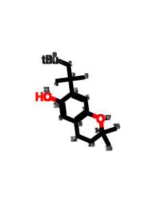 CC(C)(C)CC(C)(C)c1cc2c(cc1O)CCC(C)(C)O2